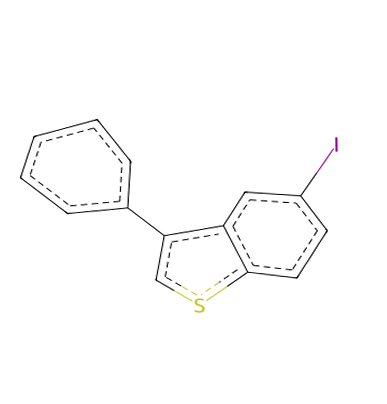 Ic1ccc2scc(-c3ccccc3)c2c1